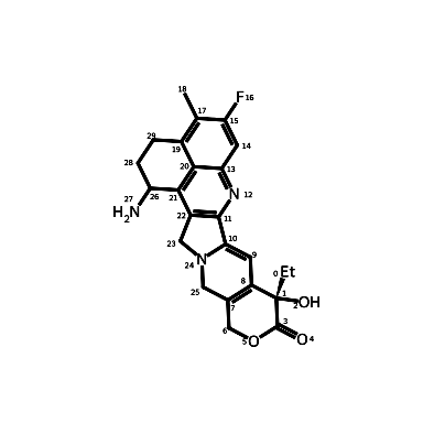 CC[C@@]1(O)C(=O)OCC2=C1C=C1c3nc4cc(F)c(C)c5c4c(c3CN1C2)C(N)CC5